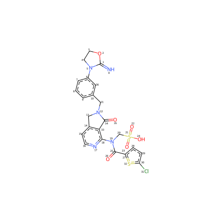 N=C1OCCN1c1cccc(CN2Cc3ccnc(N(CS(=O)(=O)O)C(=O)c4ccc(Cl)s4)c3C2=O)c1